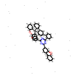 c1ccc(-c2nc(-c3ccc4c(c3)oc3ccccc34)nc(-c3ccccc3-c3ccc(C4(c5ccccc5)c5ccccc5Oc5ccccc54)cc3)n2)cc1